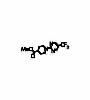 COC(=O)C1CCN(c2ncc(C(F)(F)F)cn2)CC1